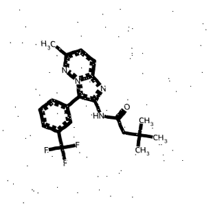 Cc1ccc2nc(NC(=O)CC(C)(C)C)c(-c3cccc(C(F)(F)F)c3)n2n1